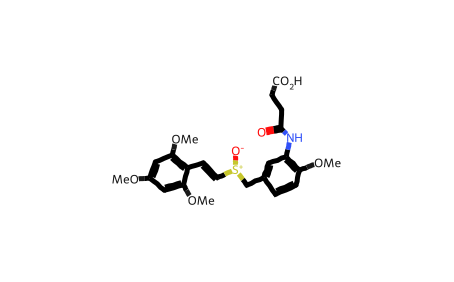 COc1cc(OC)c(/C=C/[S+]([O-])Cc2ccc(OC)c(NC(=O)CCC(=O)O)c2)c(OC)c1